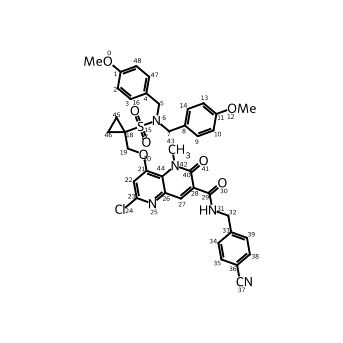 COc1ccc(CN(Cc2ccc(OC)cc2)S(=O)(=O)C2(COc3cc(Cl)nc4cc(C(=O)NCc5ccc(C#N)cc5)c(=O)n(C)c34)CC2)cc1